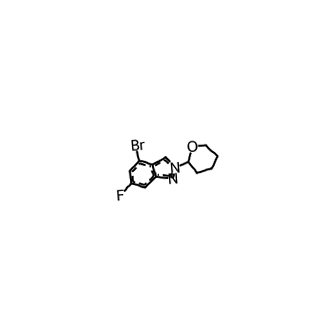 Fc1cc(Br)c2cn(C3CCCCO3)nc2c1